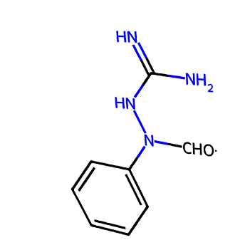 N=C(N)NN([C]=O)c1ccccc1